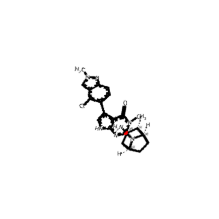 Cn1cc2c(Cl)c(-c3c[nH]c4nc(N5[C@H]6CC[C@@H]5[C@@H](F)[C@H](N)C6)n(C)c(=O)c34)ccc2n1